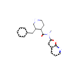 CN(C(=O)C1CCNCC1Cc1ccccc1)c1cc2cccnc2o1